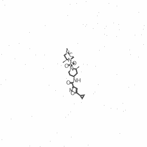 C[C@H]1C[C@@H](NC(=O)c2cc(C3CC3)on2)CCN1S(=O)(=O)N1CCN(C)C[C@@H]1C